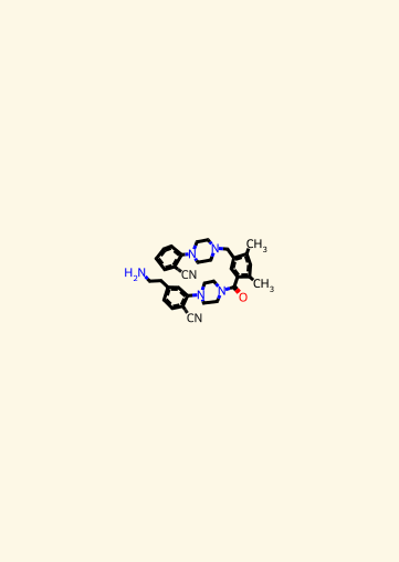 Cc1cc(C)c(C(=O)N2CCN(c3cc(CCN)ccc3C#N)CC2)cc1CN1CCN(c2ccccc2C#N)CC1